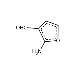 Nc1occc1C=O